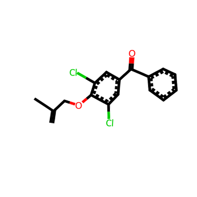 C=C(C)COc1c(Cl)cc(C(=O)c2ccccc2)cc1Cl